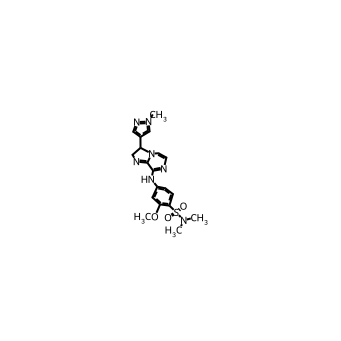 COc1cc(NC2=NC=CN3C2=NCC3c2cnn(C)c2)ccc1S(=O)(=O)N(C)C